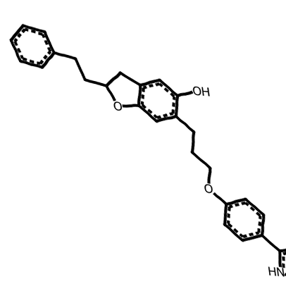 Oc1cc2c(cc1CCCOc1ccc(-c3nnn[nH]3)cc1)OC(CCc1ccccc1)C2